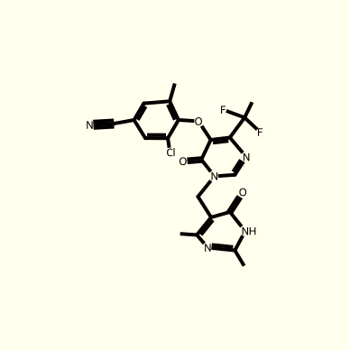 Cc1nc(C)c(Cn2cnc(C(C)(F)F)c(Oc3c(C)cc(C#N)cc3Cl)c2=O)c(=O)[nH]1